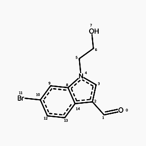 O=Cc1cn(CCO)c2cc(Br)ccc12